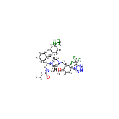 CCCC(=O)N1CCN2[C@H](CN(Cc3cc(-n4nnnc4C(F)(F)F)ccc3OC)C[C@H]2C(c2ccccc2)c2ccccc2)C1.Cl.Cl